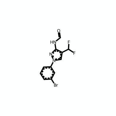 O=CNc1nn(-c2cccc(Br)c2)cc1C(F)F